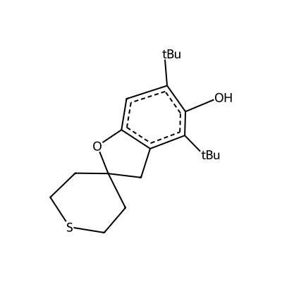 CC(C)(C)c1cc2c(c(C(C)(C)C)c1O)CC1(CCSCC1)O2